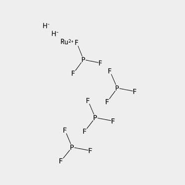 FP(F)F.FP(F)F.FP(F)F.FP(F)F.[H-].[H-].[Ru+2]